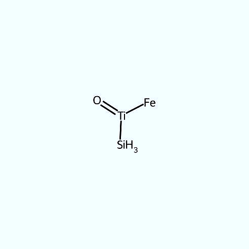 [O]=[Ti]([SiH3])[Fe]